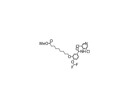 COC(=O)CCCCCCCCOc1cc(C(=O)Nc2c(Cl)cncc2Cl)ccc1OC(F)F